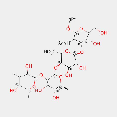 CCCO[C@@H]1OC(CO)[C@H](O)[C@H](O[C@@H]2OC(C(=O)O)[C@H](O[C@@H]3O[C@@H](C)[C@H](O)C(O)C3O[C@@H]3O[C@@H](C)[C@H](O)C(C)C3O)[C@H](O)C2O)C1NC(C)=O